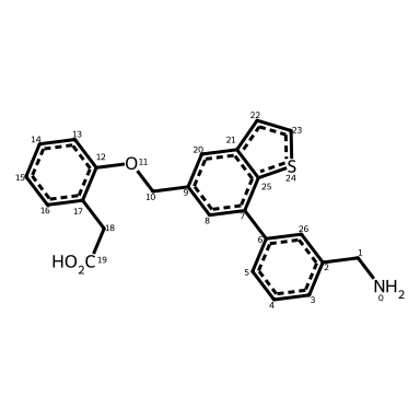 NCc1cccc(-c2cc(COc3ccccc3CC(=O)O)cc3ccsc23)c1